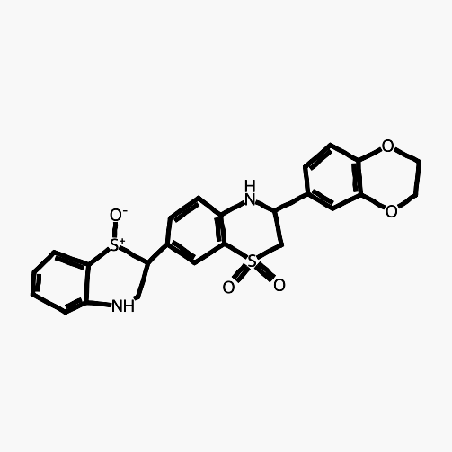 O=S1(=O)CC(c2ccc3c(c2)OCCO3)Nc2ccc(C3CNc4ccccc4[S+]3[O-])cc21